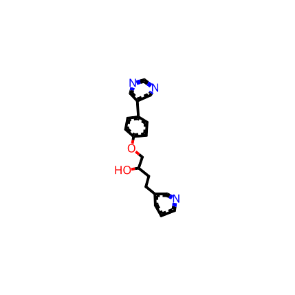 OC(CCc1cccnc1)COc1ccc(-c2cncnc2)cc1